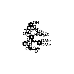 C=CC(=O)OCC(C)(C)C(=O)C(=O)N1CCCC[C@H]1C(=O)O[C@H](CCc1ccc(OC)c(OC)c1)c1ccc(F)c(OCC(=O)N(C)[C@@H](Cc2ccc(O)cc2)C(=O)NCC(=O)N(C)CC(=O)NCC(=O)N(C)CC)c1